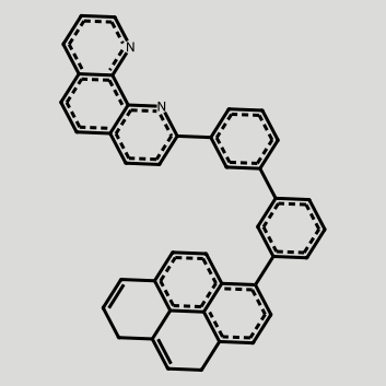 C1=Cc2ccc3c(-c4cccc(-c5cccc(-c6ccc7ccc8cccnc8c7n6)c5)c4)ccc4c3c2C(=CC4)C1